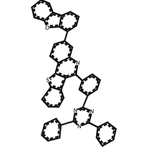 c1ccc(-c2nc(-c3ccccc3)nc(-c3cccc(-c4nc5cc(-c6cccc7c6oc6ccccc67)ccc5c5sc6ccccc6c45)c3)n2)cc1